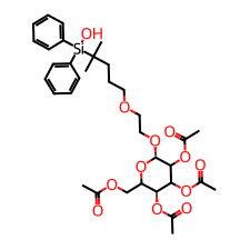 CC(=O)OCC1O[C@@H](OCCOCCCC(C)(C)[Si](O)(c2ccccc2)c2ccccc2)C(OC(C)=O)C(OC(C)=O)[C@H]1OC(C)=O